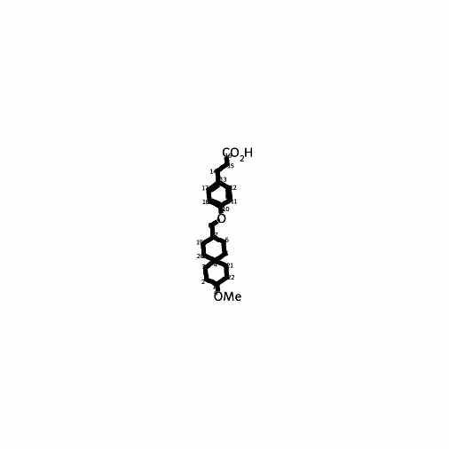 COC1CCC2(CCC(COc3ccc(CCC(=O)O)cc3)CC2)CC1